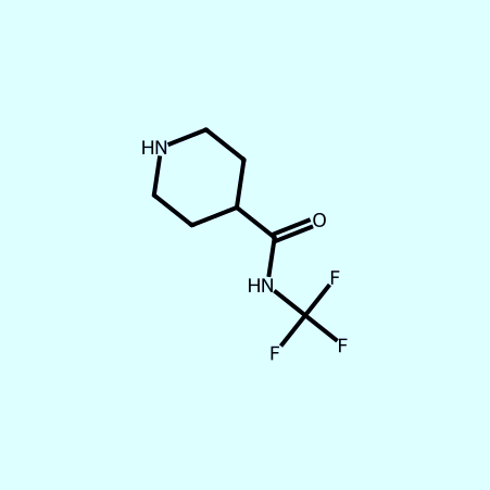 O=C(NC(F)(F)F)C1CCNCC1